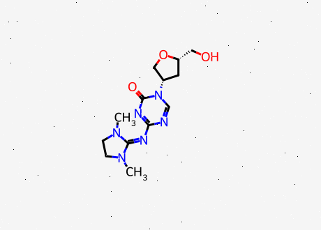 CN1CCN(C)C1=Nc1ncn([C@@H]2CO[C@H](CO)C2)c(=O)n1